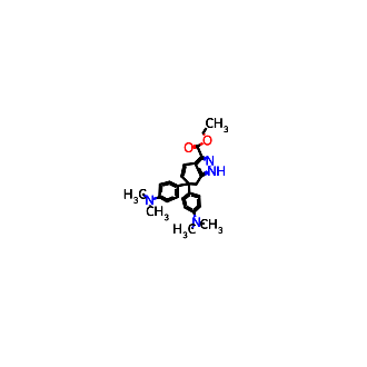 CCOC(=O)c1n[nH]c2c1C=CC(c1ccc(N(C)C)cc1)(c1ccc(N(C)C)cc1)C2